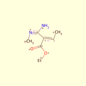 C/C=C(C(=O)OCC)\C(N)=N/C